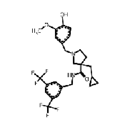 COc1cc(CN2CCC(CC3CC3)(C(=O)NCc3cc(C(F)(F)F)cc(C(F)(F)F)c3)C2)ccc1O